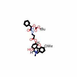 COc1ccc2c3c1O[C@H]1C(OC(=O)CCNC(=O)[C@H](OC(=O)OC(C)(C)C)c4ccccc4)=CC[C@@]4(O)[C@@H](C2)N(C)CC[C@]314